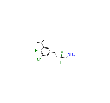 CC(C)c1cc(CCC(F)(F)CN)cc(Cl)c1F